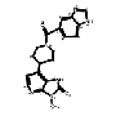 Cn1c(=O)[nH]c2c(C3CCN(C(=O)c4ccc5[nH]cnc5c4)CC3)ccnc21